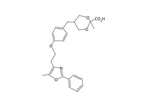 Cc1oc(-c2ccccc2)nc1CCOc1ccc(CC2COC(C)(C(=O)O)OC2)cc1